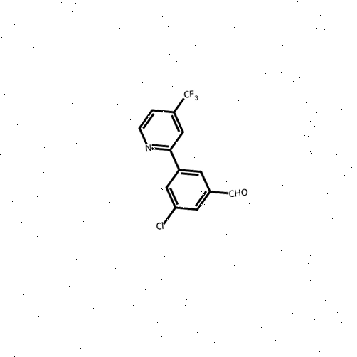 O=Cc1cc(Cl)cc(-c2cc(C(F)(F)F)ccn2)c1